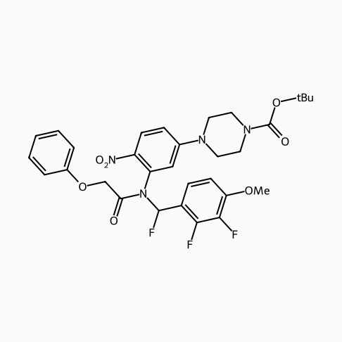 COc1ccc(C(F)N(C(=O)COc2ccccc2)c2cc(N3CCN(C(=O)OC(C)(C)C)CC3)ccc2[N+](=O)[O-])c(F)c1F